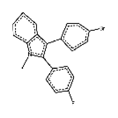 Cn1c(-c2ccc(F)cc2)c(-c2ccc(Br)cc2)c2ccccc21